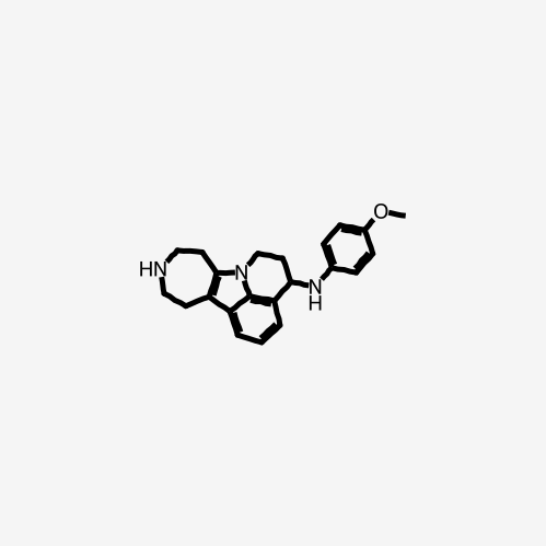 COc1ccc(NC2CCn3c4c(c5cccc2c53)CCNCC4)cc1